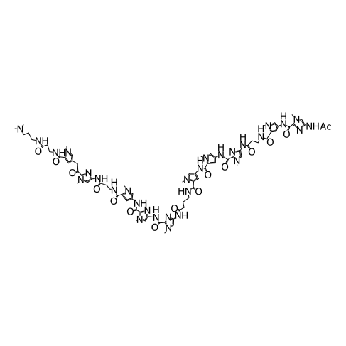 CC(=O)Nc1cn(C)c(C(=O)Nc2cc(C(=O)NCCC(=O)Nc3cn(C)c(C(=O)Nc4cc(C(=O)Nc5cc(C(=O)NCCCC(=O)Nc6cn(C)c(C(=O)Nc7cn(C)c(C(=O)Nc8cc(C(=O)NCCC(=O)Nc9cn(C)c(C(=O)Cc%10cc(C(=O)NCCC(=O)NCCCN(C)C)n(C)c%10)n9)n(C)c8)n7)n6)n(C)c5)n(C)c4)n3)n(C)c2)n1